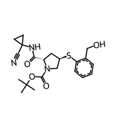 CC(C)(C)OC(=O)N1C[C@H](Sc2ccccc2CO)C[C@H]1C(=O)NC1(C#N)CC1